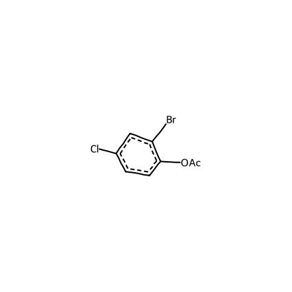 CC(=O)Oc1ccc(Cl)cc1Br